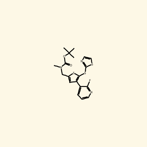 CN(Cc1cc(-c2cccnc2F)c(Sc2nccs2)s1)C(=O)OC(C)(C)C